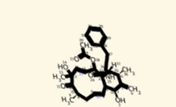 C=C1[C@@H](O)C2/C=C/C[C@H](C)C(=O)C(C)(O)/C=C/C(OC(C)=O)C23C(=O)NC(Cc2ccccc2)[C@@H]3[C@@H]1C